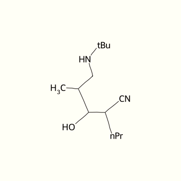 CCCC(C#N)C(O)C(C)CNC(C)(C)C